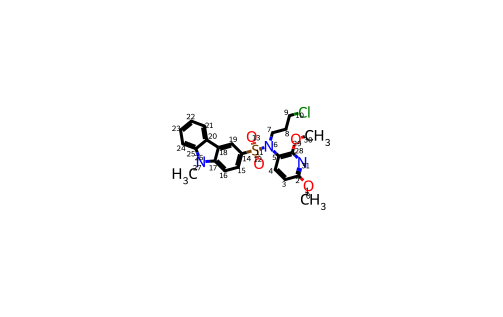 COc1ccc(N(CCCCl)S(=O)(=O)c2ccc3c(c2)c2ccccc2n3C)c(OC)n1